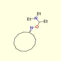 CCC(ON=C1CCCCCCCCCCC1)N(CC)CC